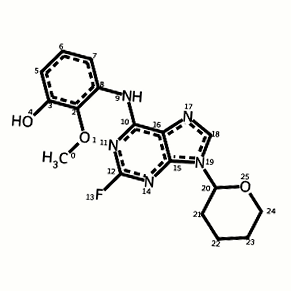 COc1c(O)cccc1Nc1nc(F)nc2c1ncn2C1CCCCO1